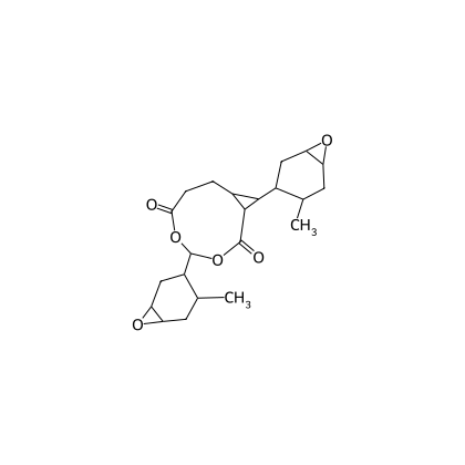 CC1CC2OC2CC1C1OC(=O)CCC2C(C(=O)O1)C2C1CC2OC2CC1C